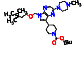 CN1CCN(c2cnc3c(n2)c(C2CCN(C(=O)OC(C)(C)C)CC2)cn3COCC[Si](C)(C)C)CC1